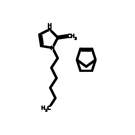 C1=CC2CCC1C2.C=C1NC=CN1CCCCCC